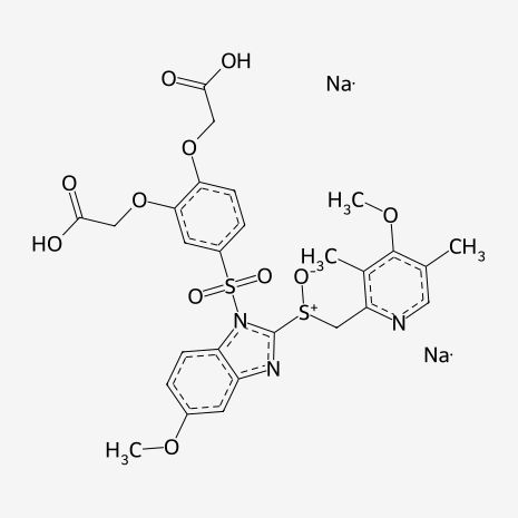 COc1ccc2c(c1)nc([S+]([O-])Cc1ncc(C)c(OC)c1C)n2S(=O)(=O)c1ccc(OCC(=O)O)c(OCC(=O)O)c1.[Na].[Na]